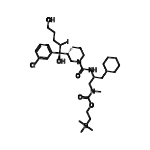 CN(CC(CC1CCCCC1)NC(=O)N1CCC[C@@H]([C@](O)(c2cccc(Cl)c2)C(I)CCCO)C1)C(=O)OCC[Si](C)(C)C